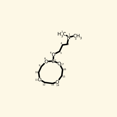 CN(C)CCCOB1OCCOCCOCCO1